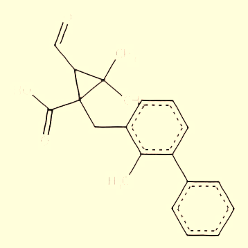 Cc1c(CC2(C(=O)O)C(C=O)C2(C)C)cccc1-c1ccccc1